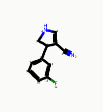 N#CC1=CNCC1c1cccc(F)c1